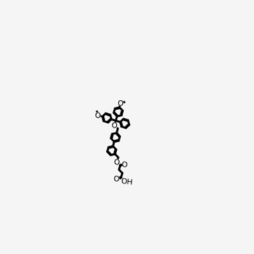 COc1ccc(C(OCc2ccc(-c3cccc(COC(=O)CCC(=O)O)c3)cc2)(c2ccccc2)c2ccc(OC)cc2)cc1